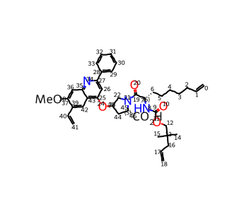 C=CCCCCC[C@H](NC(=O)OCC(C)(C)CC=C)C(=O)N1C[C@H](Oc2cc(-c3ccccc3)nc3cc(OC)c(C=C)cc23)C[C@H]1C(=O)O